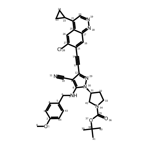 COc1ccc(CNc2c(C#N)c(C#Cc3cc4nncc(C5CC5)c4cc3Cl)nn2[C@H]2CCN(C(=O)OC(C)(C)C)C2)cc1